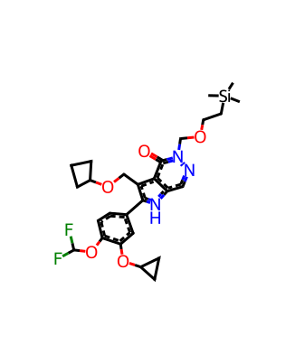 C[Si](C)(C)CCOCn1ncc2[nH]c(-c3ccc(OC(F)F)c(OC4CC4)c3)c(COC3CCC3)c2c1=O